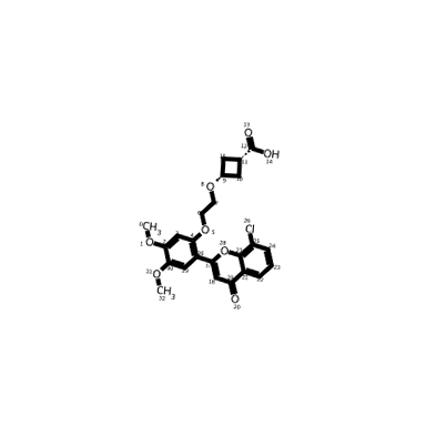 COc1cc(OCCO[C@H]2C[C@@H](C(=O)O)C2)c(-c2cc(=O)c3cccc(Cl)c3o2)cc1OC